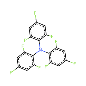 Fc1cc(F)c(N(c2c(F)cc(F)cc2F)c2c(F)cc(F)cc2F)c(F)c1